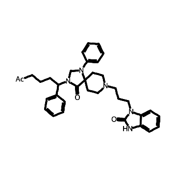 CC(=O)CCCC(c1ccccc1)N1CN(c2ccccc2)C2(CCN(CCCn3c(=O)[nH]c4ccccc43)CC2)C1=O